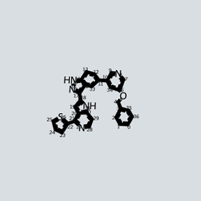 c1ccc(COc2cncc(-c3ccc4[nH]nc(-c5cc6c(-c7cccs7)nccc6[nH]5)c4c3)c2)cc1